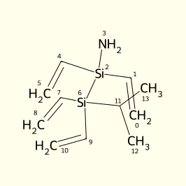 C=C[Si](N)(C=C)[Si](C=C)(C=C)C(C)C